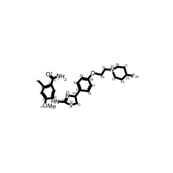 COc1cc(C)c(C(N)=O)cc1NC1=NC(c2ccc(OCCN3CCC(F)CC3)cc2)CS1